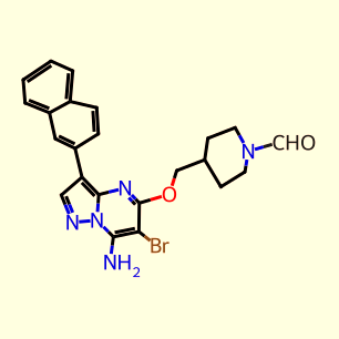 Nc1c(Br)c(OCC2CCN(C=O)CC2)nc2c(-c3ccc4ccccc4c3)cnn12